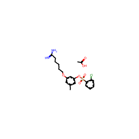 CC(=O)O.Cc1cc(OCCCCCC(=N)N)cc(OS(=O)(=O)c2ccccc2Cl)c1